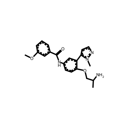 COc1cccc(C(=O)Nc2ccc(OCC(C)N)c(-c3ccnn3C)c2)c1